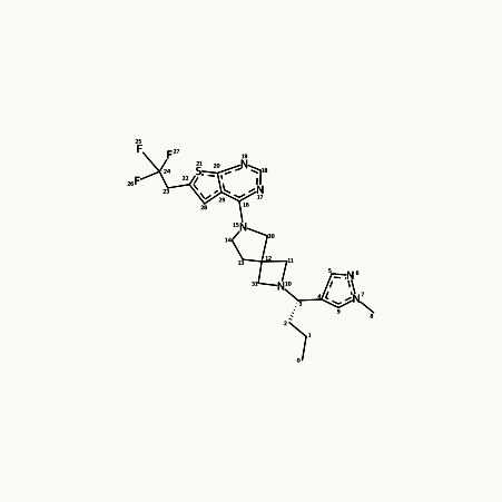 CCC[C@@H](c1cnn(C)c1)N1CC2(CCN(c3ncnc4sc(CC(F)(F)F)cc34)C2)C1